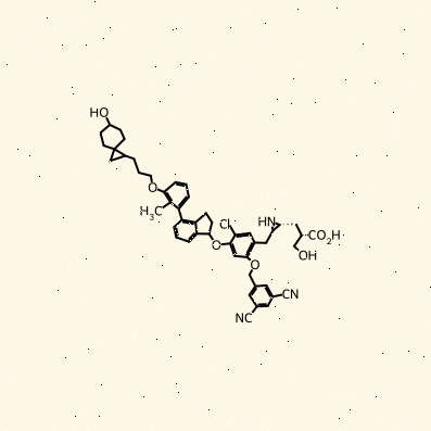 Cc1c(OCCCC2CC23CCC(O)CC3)cccc1-c1cccc2c1CCC2Oc1cc(OCc2cc(C#N)cc(C#N)c2)c(CC2N[C@@H]2C[C@@H](CO)C(=O)O)cc1Cl